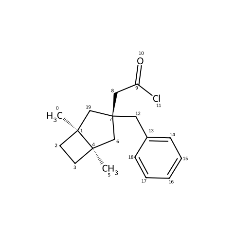 C[C@@]12CC[C@]1(C)C[C@@](CC(=O)Cl)(Cc1ccccc1)C2